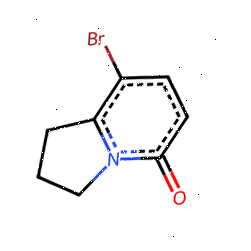 O=c1ccc(Br)c2n1CCC2